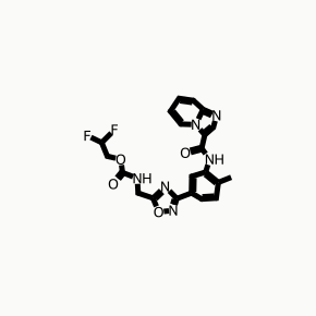 Cc1ccc(-c2noc(CNC(=O)OCC(F)F)n2)cc1NC(=O)c1cnc2ccccn12